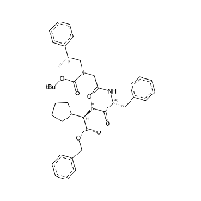 C[C@@H](CN(CC(=O)N[C@H](Cc1ccccc1)C(=O)N[C@@H](C(=O)OCc1ccccc1)C1CCCC1)C(=O)OC(C)(C)C)c1ccccc1